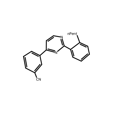 CCCCCc1ccccc1-c1nccc(-c2cccc(C#N)c2)n1